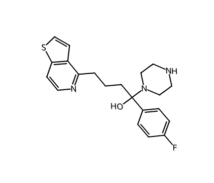 OC(CCCc1nccc2sccc12)(c1ccc(F)cc1)N1CCNCC1